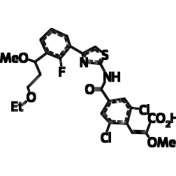 CCOCCC(OC)c1cccc(-c2csc(NC(=O)c3cc(Cl)c(C=C(OC)C(=O)O)c(Cl)c3)n2)c1F